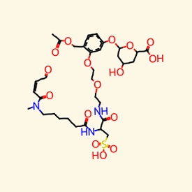 CC(=O)OCc1ccc(OC2CC(O)CC(C(=O)O)O2)cc1OCCOCCNC(=O)C(CS(=O)(=O)O)NC(=O)CCCCCN(C)C(=O)/C=C\C=O